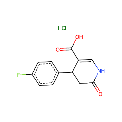 Cl.O=C1CC(c2ccc(F)cc2)C(C(=O)O)=CN1